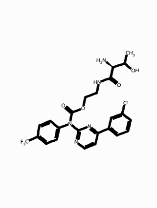 CC(O)[C@H](N)C(=O)NCCOC(=O)N(c1ccc(C(F)(F)F)cc1)c1nccc(-c2cccc(Cl)c2)n1